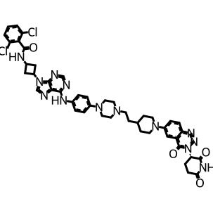 O=C1CC[C@H](n2nnc3ccc(N4CCC(CCN5CCN(c6ccc(Nc7ncnc8c7ncn8C7CC(NC(=O)c8c(Cl)cccc8Cl)C7)cc6)CC5)CC4)cc3c2=O)C(=O)N1